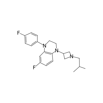 CC(C)CN1CC(N2CCN(c3ccc(F)cc3)c3cc(F)ccc32)C1